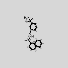 C[C@@H](NCc1cccc(C(C)(C)N)c1)c1cccc2ccccc12